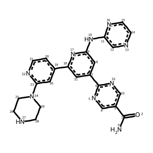 NC(=O)c1cnc(-c2cc(Nc3cnccn3)nc(-c3ccnc(N4CCNCC4)c3)c2)nc1